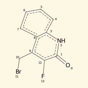 O=c1[nH]c2ccccc2c(CBr)c1F